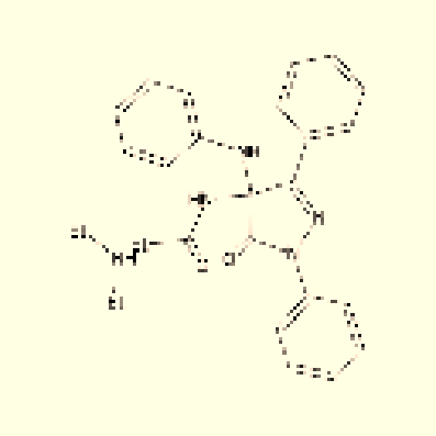 CCC(=O)NC1(Nc2ccccc2)C(=O)N(c2ccccc2)N=C1c1ccccc1.CCNCC